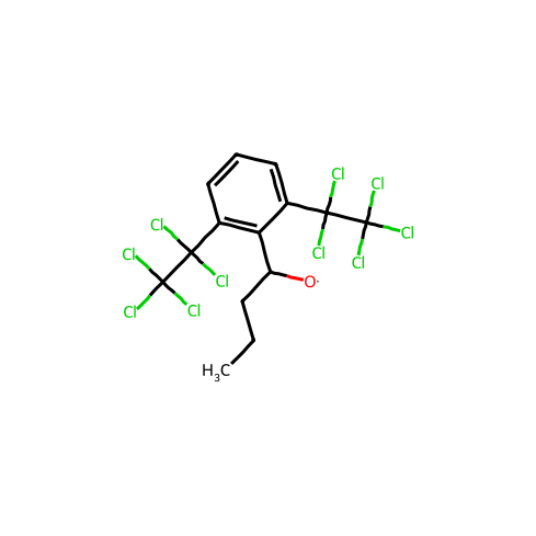 CCCC([O])c1c(C(Cl)(Cl)C(Cl)(Cl)Cl)cccc1C(Cl)(Cl)C(Cl)(Cl)Cl